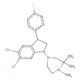 CN1CCN(C2CC(c3ccc(F)cc3)c3cc(Cl)c(Cl)cc32)CC1(C)C